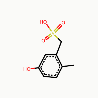 Cc1ccc(O)cc1CS(=O)(=O)O